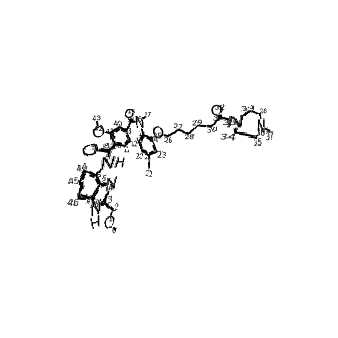 COCc1nc2c(NC(=O)c3ccc(C(=O)N(C)c4ccc(C)cc4OCCCCCC(=O)N4CCN(C)CC4)cc3OC)cccc2[nH]1